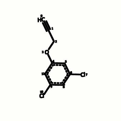 C#CCOc1cc(Cl)[c]c(Cl)c1